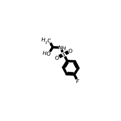 CC(O)NS(=O)(=O)c1ccc(F)cc1